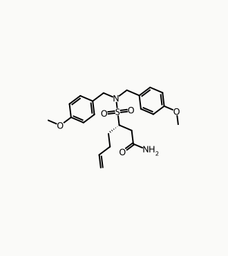 C=CCC[C@@H](CC(N)=O)S(=O)(=O)N(Cc1ccc(OC)cc1)Cc1ccc(OC)cc1